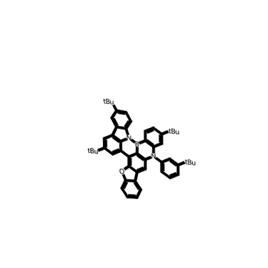 CC(C)(C)c1cccc(N2c3cc(C(C)(C)C)ccc3B3c4c2cc2c(oc5ccccc52)c4-c2cc(C(C)(C)C)cc4c5cc(C(C)(C)C)ccc5n3c24)c1